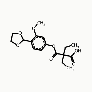 CCC(CC)(C(=O)O)C(=O)Oc1ccc(C2OCCO2)c(OC)c1